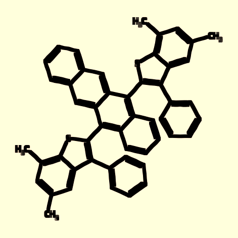 Cc1cc(C)c2sc(-c3c4ccccc4c(-c4sc5c(C)cc(C)cc5c4-c4ccccc4)c4cc5ccccc5cc34)c(-c3ccccc3)c2c1